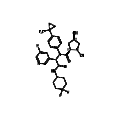 N#CN1C[C@H](O)C[C@@H]1C(=O)N(c1ccc(C2(C(F)(F)F)CC2)cc1)C(C(=O)NC1CCC(F)(F)CC1)c1cncc(F)c1